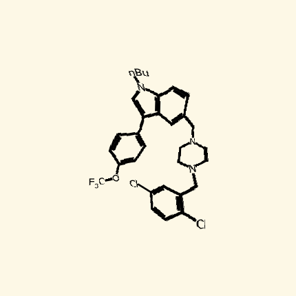 CCCCn1cc(-c2ccc(OC(F)(F)F)cc2)c2cc(CN3CCN(Cc4cc(Cl)ccc4Cl)CC3)ccc21